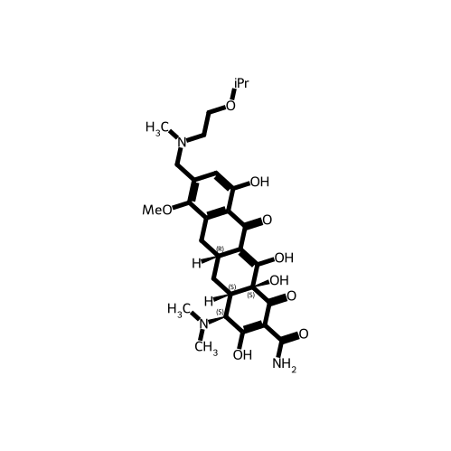 COc1c(CN(C)CCOC(C)C)cc(O)c2c1C[C@H]1C[C@H]3[C@H](N(C)C)C(O)=C(C(N)=O)C(=O)[C@@]3(O)C(O)=C1C2=O